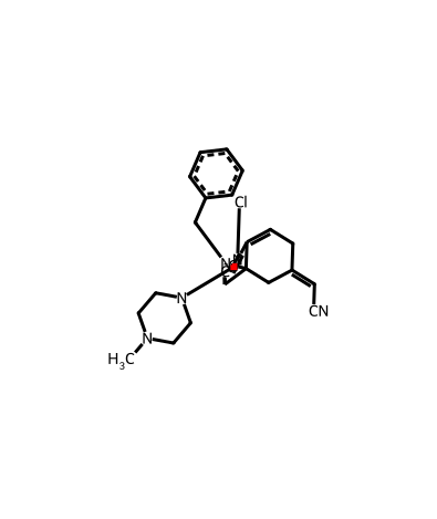 CN1CCN(C2=C3CN(Cc4ccccc4)CC34C/C(=C\C#N)CC=C4N(Cl)C=C2)CC1